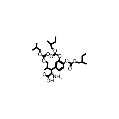 CCC(C)COC(=O)Oc1ccc(C(C(C)COC(=O)OCC(C)C)[C@H](N)C(=O)O)cc1OC(=O)OCC(C)CC